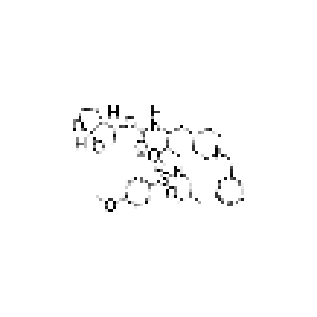 COc1ccc(S(=O)(=O)N(CC(C)C)C[C@@H](O)[C@H](CC2CCN(Cc3ccccc3)CC2)NC(=O)O[C@H]2CO[C@H]3OCC[C@H]32)cc1